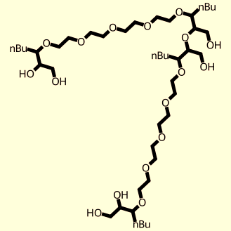 CCCCC(OCCOCCOCCOCCOC(CCCC)C(CO)OC(CO)C(CCCC)OCCOCCOCCOCCOC(CCCC)C(O)CO)C(O)CO